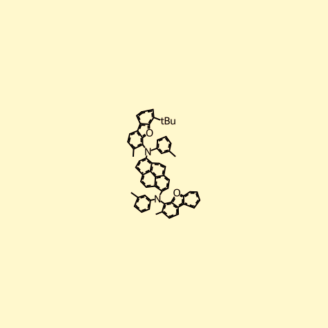 Cc1cccc(N(c2ccc3ccc4c(N(c5cccc(C)c5)c5c(C)ccc6c5oc5c(C(C)(C)C)cccc56)ccc5ccc2c3c54)c2c(C)ccc3c2oc2ccccc23)c1